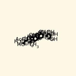 CC(=O)O[C@@H]([C@H]1C[C@@H](C)[C@H]2[C@H](O1)[C@H](O)[C@@]1(C)[C@@H]3CC[C@H]4C(C)(C)[C@@H](O[C@@H]5OC[C@@H](O)[C@H](O)[C@H]5O)CC[C@@]45C[C@@]35CC[C@]21C)C(C)(C)O